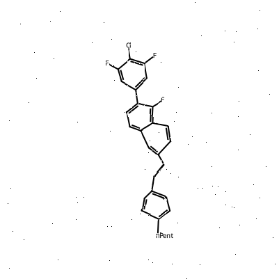 CCCCCc1ccc(CCc2ccc3c(F)c(-c4cc(F)c(Cl)c(F)c4)ccc3c2)cc1